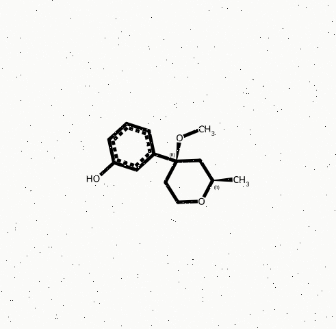 CO[C@]1(c2cccc(O)c2)CCO[C@H](C)C1